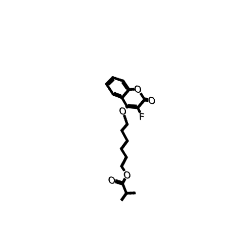 CC(C)C(=O)OCCCCCCOc1c(F)c(=O)oc2ccccc12